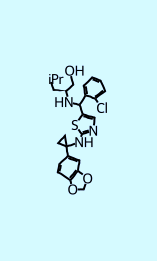 CC(C)C[C@@H](CO)NC(c1cnc(NC2(c3ccc4c(c3)OCO4)CC2)s1)c1ccccc1Cl